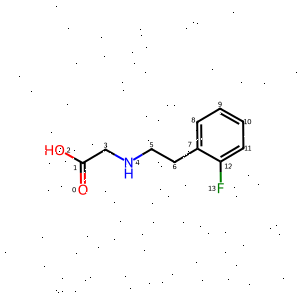 O=C(O)CNCCc1ccccc1F